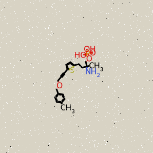 Cc1ccc(COCC#Cc2ccc(CCC(C)(N)COP(=O)(O)O)s2)cc1